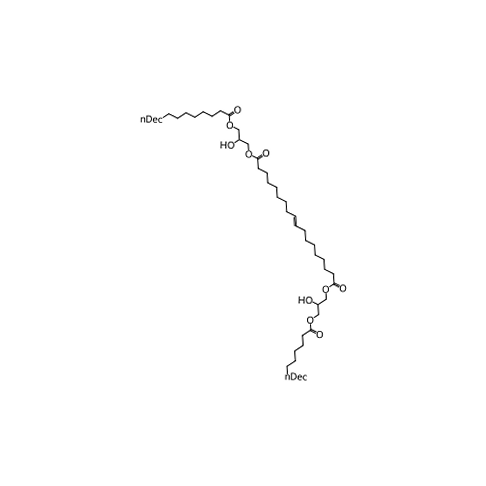 CCCCCCCCCCCCCCCCCC(=O)OCC(O)COC(=O)CCCCCCCC=CCCCCCCCC(=O)OCC(O)COC(=O)CCCCCCCCCCCCCCC